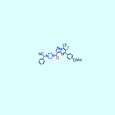 COc1ccc(-c2nc3c(C(=O)N4CCN(C(C#N)c5ccccc5)C[C@H]4C)cnn3c(C(F)(F)F)c2C)cc1